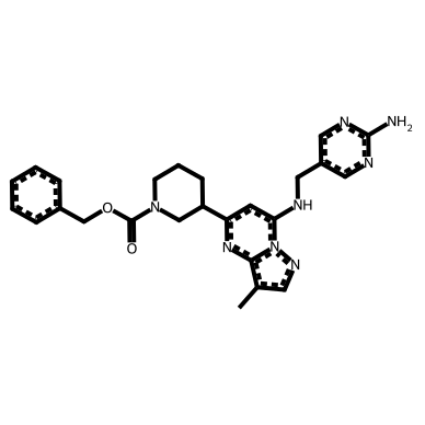 Cc1cnn2c(NCc3cnc(N)nc3)cc(C3CCCN(C(=O)OCc4ccccc4)C3)nc12